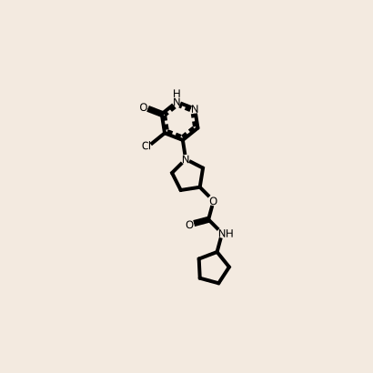 O=C(NC1CCCC1)OC1CCN(c2cn[nH]c(=O)c2Cl)C1